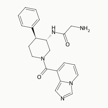 NCC(=O)N[C@@H]1CN(C(=O)c2cccn3cncc23)CC[C@H]1c1ccccc1